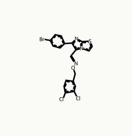 Clc1ccc(CO/N=C/c2c(-c3ccc(Br)cc3)nc3sccn23)cc1Cl